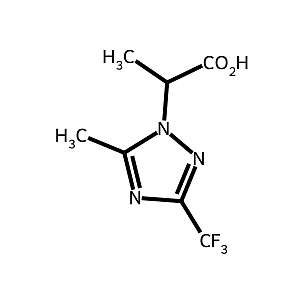 Cc1nc(C(F)(F)F)nn1C(C)C(=O)O